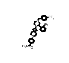 CC(C)c1ccccc1C1CN(Cc2ccc(C(F)(F)F)cc2)CCN1C1CC2(CCN(c3ccc(C(N)=O)cc3)CC2)C1